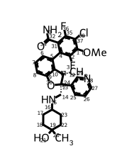 COc1c(F)c(-c2cccc3c2[C@H](C)[C@@](CNC2CCC(C)(O)CC2)(c2cccnc2)O3)c(C(N)=O)c(F)c1Cl